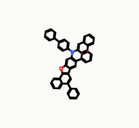 c1ccc(-c2ccc(N(c3ccc4ccccc4c3)c3cc4oc5c6ccccc6c(-c6ccccc6)cc5c4cc3-c3ccccc3)cc2)cc1